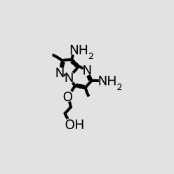 Cc1nn2c(OCCO)c(C)c(N)nc2c1N